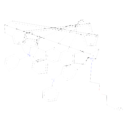 COCCOCCN1CC2C3=c4c5c6c7c(cc8cc9cc%10cc%11cc%12c%13c(c4c4c5c5c7c8c7c9c%10c8c%11c%13c4c8c75)=C(C3)C%12)CC62C1c1ccc(N(c2ccccc2)c2ccc(N(c3ccccc3)c3ccccc3)cc2)cc1